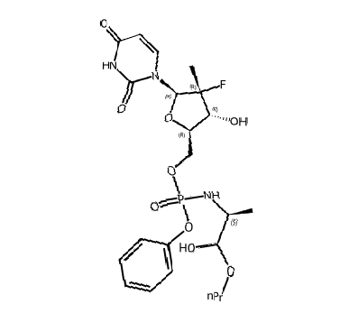 CCCOC(O)[C@H](C)NP(=O)(OC[C@H]1O[C@@H](n2ccc(=O)[nH]c2=O)[C@](C)(F)[C@@H]1O)Oc1ccccc1